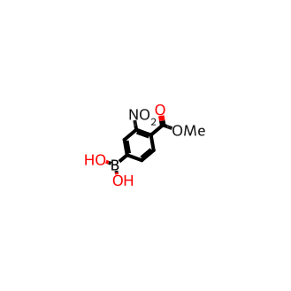 COC(=O)c1ccc(B(O)O)cc1[N+](=O)[O-]